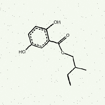 CCC(C)COC(=O)c1cc(O)ccc1O